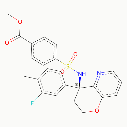 COC(=O)c1ccc(S(=O)(=O)N[C@]2(c3ccc(C)c(F)c3)CCOc3cccnc32)cc1